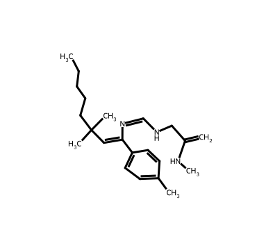 C=C(CN/C=N\C(=C/C(C)(C)CCCCC)c1ccc(C)cc1)NC